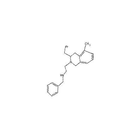 Cc1cccc2c1CC(CC(C)C)N(CCNCc1ccccc1)C2